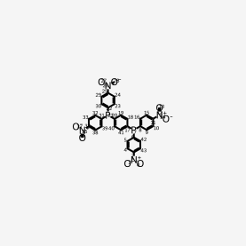 O=[N+]([O-])c1ccc(P(c2ccc([N+](=O)[O-])cc2)c2ccc(P(c3ccc([N+](=O)[O-])cc3)c3ccc([N+](=O)[O-])cc3)cc2)cc1